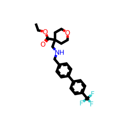 CCOC(=O)C1(CNCc2ccc(-c3ccc(C(F)(F)F)cc3)cc2)CCOCC1